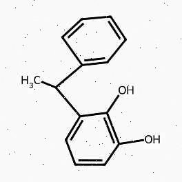 CC(c1ccccc1)c1cccc(O)c1O